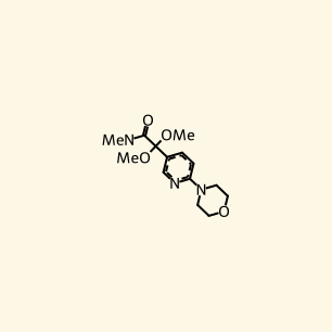 CNC(=O)C(OC)(OC)c1ccc(N2CCOCC2)nc1